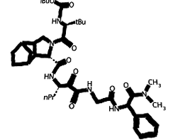 CCC[C@H](NC(=O)[C@@H]1C2C3CCC(C3)C2CN1C(=O)[C@@H](NC(=O)OCC(C)C)C(C)(C)C)C(=O)C(=O)NCC(=O)NC(C(=O)N(C)C)c1ccccc1